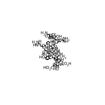 CC[C@H](C)[C@H](NC(=O)[C@H](CCCNC(=N)N)NC(=O)[C@@H]1CCCN1C(=O)[C@@H](NC(=O)[C@H](CCCNC(=N)N)NC(=O)[C@@H](NC(=O)[C@@H](N)CC(N)=O)[C@@H](C)O)[C@@H](C)O)C(=O)N[C@H](C(=O)N[C@@H](Cc1ccc(O)cc1)C(=O)N[C@H](C(=O)N[C@@H](CC(=O)O)C(=O)N[C@@H](CO)C(=O)N[C@H](C(=O)O)C(C)C)[C@@H](C)O)[C@@H](C)O